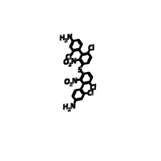 Nc1ccc(-c2c(Cl)ccc(Sc3ccc(Cl)c(-c4ccc(N)cc4Cl)c3[N+](=O)[O-])c2[N+](=O)[O-])c(Cl)c1